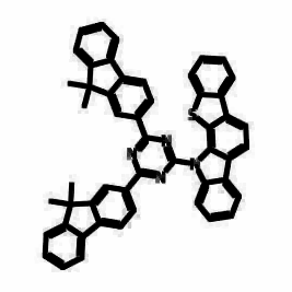 CC1(C)c2ccccc2-c2ccc(-c3nc(-c4ccc5c(c4)C(C)(C)c4ccccc4-5)nc(-n4c5ccccc5c5ccc6c7ccccc7sc6c54)n3)cc21